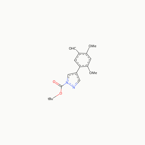 COc1cc(OC)c(-c2cnn(C(=O)OC(C)(C)C)c2)cc1C=O